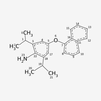 CC(C)c1cc(Oc2cccc3ccccc23)cc(C(C)C)c1N